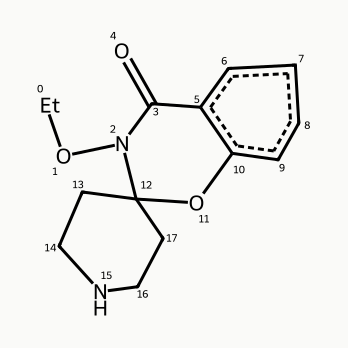 CCON1C(=O)c2ccccc2OC12CCNCC2